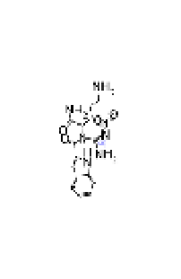 NCCCC(C(N)=O)N(C(=O)c1cc2ccccc2[nH]1)/C(N)=N\[N+](=O)[O-]